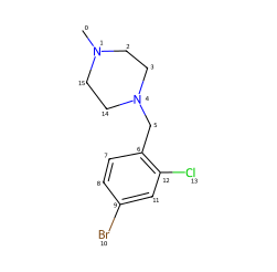 CN1CCN(Cc2ccc(Br)cc2Cl)CC1